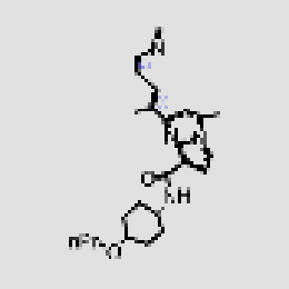 C=N/C=C\C=C(/C)c1cc(C)n2ccc(C(=O)N[C@H]3CC[C@H](OCCC)CC3)c2n1